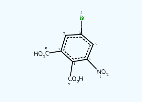 O=C(O)c1cc(Br)cc([N+](=O)[O-])c1C(=O)O